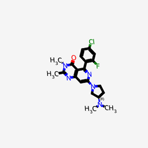 Cc1nc2cc(N3CC[C@@H](N(C)C)C3)nc(-c3ccc(Cl)cc3F)c2c(=O)n1C